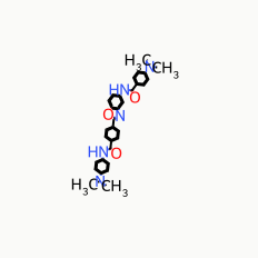 CN(C)c1ccc(NC(=O)c2ccc(-c3nc4cc(NC(=O)c5ccc(N(C)C)cc5)ccc4o3)cc2)cc1